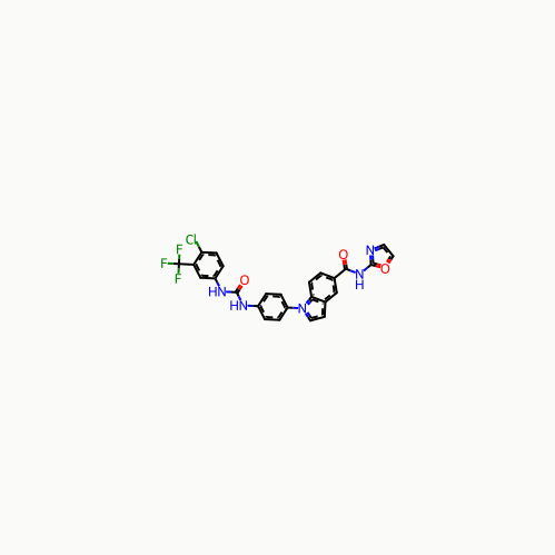 O=C(Nc1ccc(-n2ccc3cc(C(=O)Nc4ncco4)ccc32)cc1)Nc1ccc(Cl)c(C(F)(F)F)c1